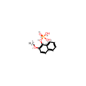 COc1ccc2ccccc2c1OP(=O)(O)O